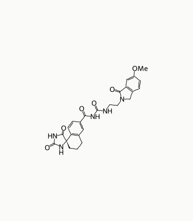 COc1ccc2c(c1)C(=O)N(CCNC(=O)NC(=O)c1ccc3c(c1)CCC[C@]31NC(=O)NC1=O)C2